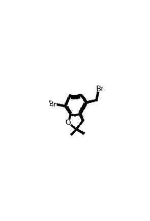 CC1(C)Cc2c(CBr)ccc(Br)c2O1